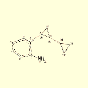 Nc1ccccc1[C@@H]1C[C@@H]1C1CC1